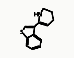 C1=C(c2csc3ccccc23)NCCC1